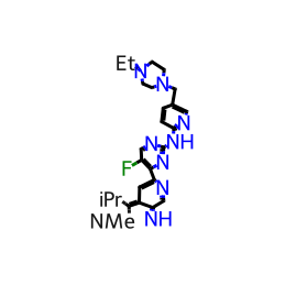 CCN1CCN(Cc2ccc(Nc3ncc(F)c(C4=C/C(=C(/NC)C(C)C)C(=N)C=N4)n3)nc2)CC1